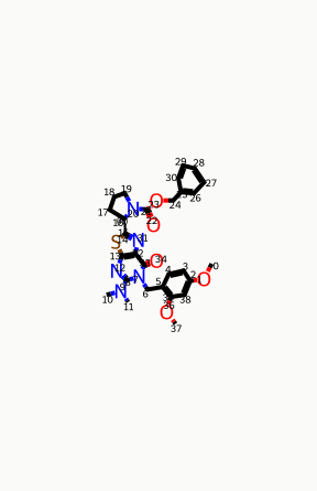 COc1ccc(Cn2c(N(C)C)nc3sc([C@H]4CCCN4C(=O)OCc4ccccc4)nc3c2=O)c(OC)c1